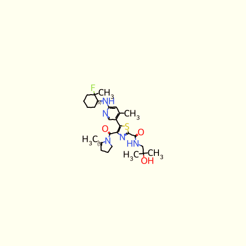 Cc1cc(N[C@H]2CCCCC2(C)F)ncc1-c1sc(C(=O)NCC(C)(C)O)nc1C(=O)N1CCC[C@@H]1C